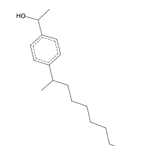 CCCCCCCC(C)c1ccc(C(C)O)cc1